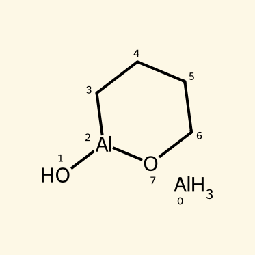 [AlH3].[OH][Al]1[CH2]CCC[O]1